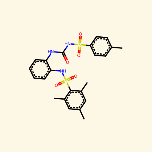 Cc1ccc(S(=O)(=O)NC(=O)Nc2ccccc2NS(=O)(=O)c2c(C)cc(C)cc2C)cc1